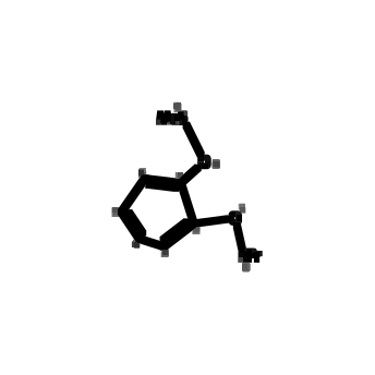 CCCOc1ccccc1OSC